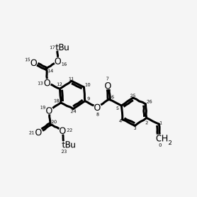 C=Cc1ccc(C(=O)Oc2ccc(OC(=O)OC(C)(C)C)c(OC(=O)OC(C)(C)C)c2)cc1